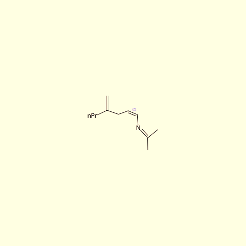 C=C(C/C=C\N=C(C)C)CCC